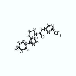 O=C(Cn1cnc(C(F)(F)F)n1)N1CCCc2c1cnn2-c1ccc(F)cc1